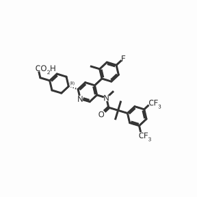 Cc1cc(F)ccc1-c1cc([C@H]2CC=C(CC(=O)O)CC2)ncc1N(C)C(=O)C(C)(C)c1cc(C(F)(F)F)cc(C(F)(F)F)c1